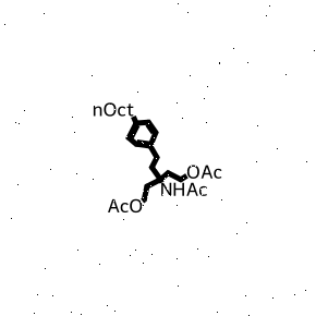 CCCCCCCCc1ccc(CCC(CCOC(C)=O)(CCOC(C)=O)NC(C)=O)cc1